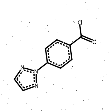 O=C(Cl)c1ccc(-n2nccn2)cc1